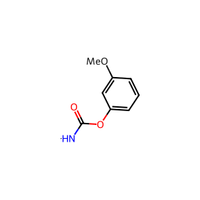 COc1cccc(OC([NH])=O)c1